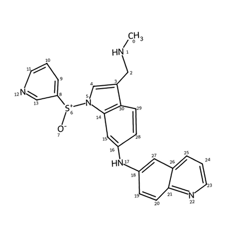 CNCc1cn([S+]([O-])c2cccnc2)c2cc(Nc3ccc4ncccc4c3)ccc12